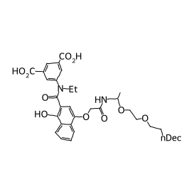 CCCCCCCCCCCCOCCOC(C)NC(=O)COc1cc(C(=O)N(CC)c2cc(C(=O)O)cc(C(=O)O)c2)c(O)c2ccccc12